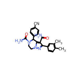 Cc1ccc(-c2nn3c(c2C(N)=O)C(c2ccc(C#N)cc2)N(C(N)=O)CC3)cc1C